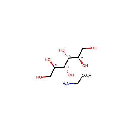 NCC(=O)O.OC[C@@H](O)[C@@H](O)[C@H](O)[C@H](O)CO